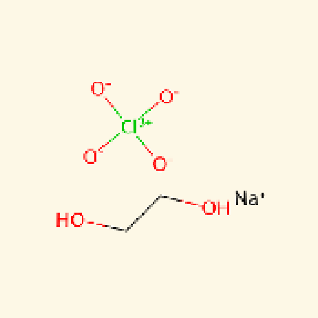 OCCO.[Na+].[O-][Cl+3]([O-])([O-])[O-]